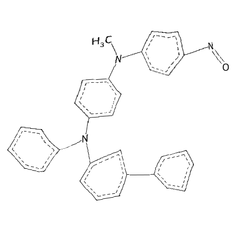 CN(c1ccc(N=O)cc1)c1ccc(N(c2ccccc2)c2cccc(-c3ccccc3)c2)cc1